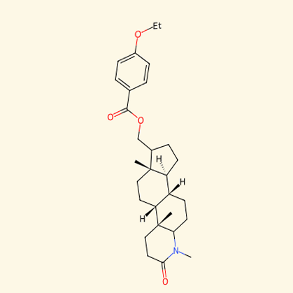 CCOc1ccc(C(=O)OCC2CC[C@H]3[C@@H]4CCC5N(C)C(=O)CC[C@]5(C)[C@@H]4CC[C@]23C)cc1